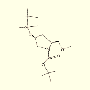 COC[C@@H]1C[C@H](O[Si](C)(C)C(C)(C)C)CN1C(=O)OC(C)(C)C